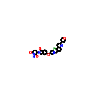 O=C1CCC(N2Cc3cc(O[C@H]4CCN(Cc5ccc6nc(C7CCOCC7)ccc6c5F)C4)ccc3C2=O)C(=O)N1